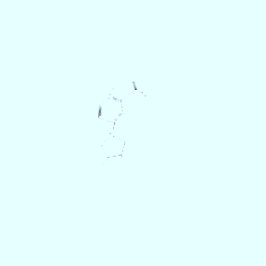 NC(=O)c1cc(N2CCC(O)C2)ccn1